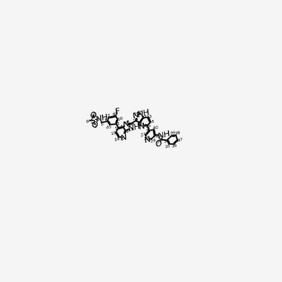 CS(=O)(=O)NCc1cc(F)cc(-c2ccnc3[nH]c(-c4n[nH]c5ccc(-c6cncc(NC(=O)c7ccccc7)c6)nc45)nc23)c1